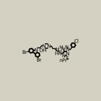 CCCSc1nc(NCCCCCN2CCN(CC(O)Cn3c4ccc(Br)cc4c4cc(Br)ccc43)CC2)c(N)c(N(N)Cc2ccc(Cl)cc2)n1